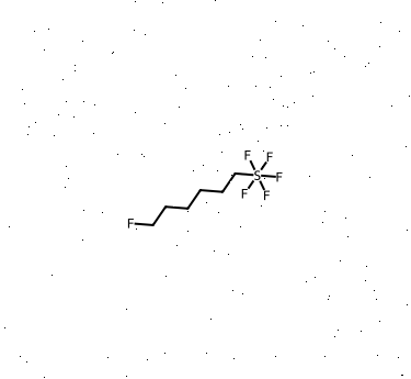 FCCCCCCS(F)(F)(F)(F)F